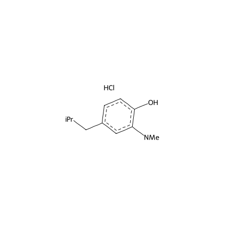 CNc1cc(CC(C)C)ccc1O.Cl